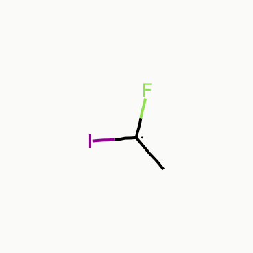 C[C](F)I